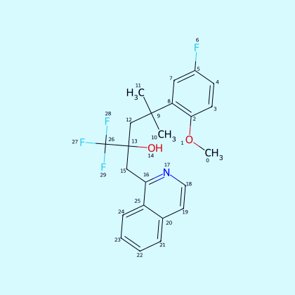 COc1ccc(F)cc1C(C)(C)CC(O)(Cc1nccc2ccccc12)C(F)(F)F